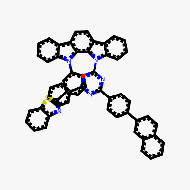 c1ccc(-c2nc(-c3ccc(-c4ccc5ccccc5c4)cc3)nc(-n3c4ccccc4c4ccc5c6ccccc6n(-c6cccc(-c7nc8ccccc8s7)c6)c5c43)n2)cc1